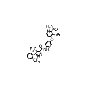 CCCc1c(Oc2ccc(NC(=O)c3nnn(-c4ccccc4C(F)(F)F)c3C(F)(F)F)cc2)ccnc1C(N)=O